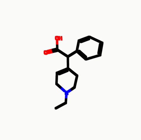 CCN1CC=C(C(C(=O)O)c2ccccc2)CC1